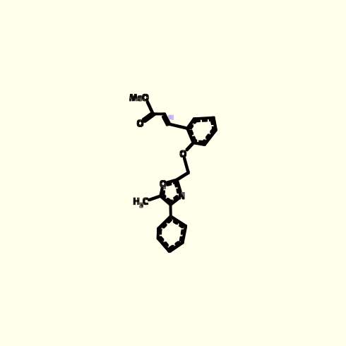 COC(=O)/C=C/c1ccccc1OCc1nc(-c2ccccc2)c(C)o1